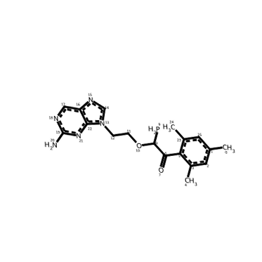 Cc1cc(C)c(C(=O)C(P)OCCn2cnc3cnc(N)nc32)c(C)c1